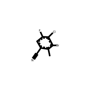 Cc1c(C#N)cc(F)c(Cl)c1Br